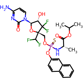 CC(C)OC(=O)[C@H](C)NP(=S)(OC[C@@]1(C(F)F)O[C@@H](n2ccc(N)nc2=O)[C@H](O)C1(F)F)Oc1ccc2ccccc2c1